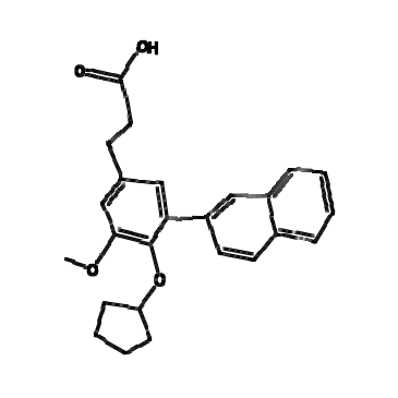 COc1cc(CCC(=O)O)cc(-c2ccc3ccccc3c2)c1OC1CCCC1